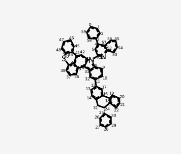 c1ccc(-c2cc(-n3c4ccc(-c5ccc6c(c5)-c5ccccc5[C@H](c5ccccc5)C6)cc4c4c5cccc6c5c(cc43)-c3ccccc3S6)nc3ccccc23)cc1